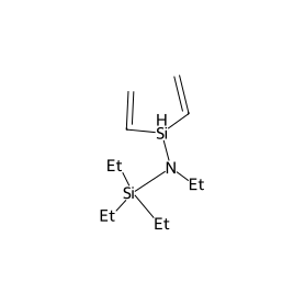 C=C[SiH](C=C)N(CC)[Si](CC)(CC)CC